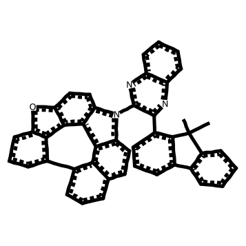 CC1(C)c2ccccc2-c2cccc(-c3nc4ccccc4nc3-n3c4ccc5cccc6c5c4c4c5c(ccc43)oc3cccc-6c35)c21